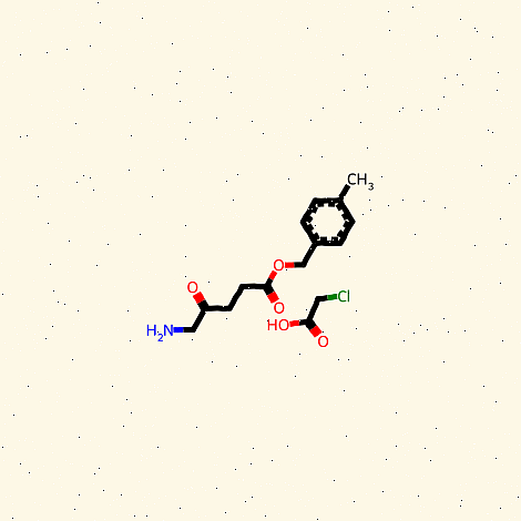 Cc1ccc(COC(=O)CCC(=O)CN)cc1.O=C(O)CCl